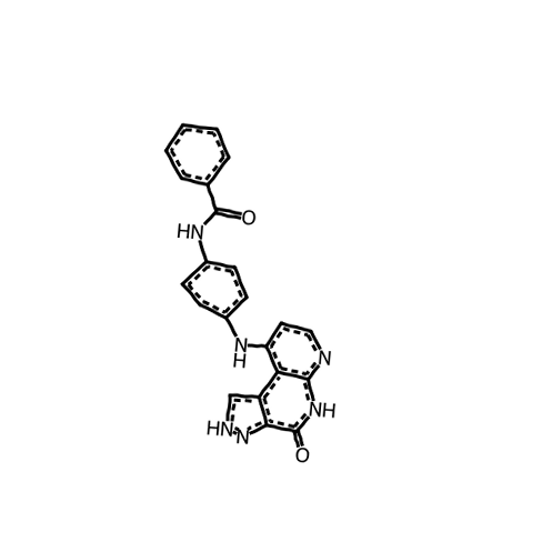 O=C(Nc1ccc(Nc2ccnc3[nH]c(=O)c4n[nH]cc4c23)cc1)c1ccccc1